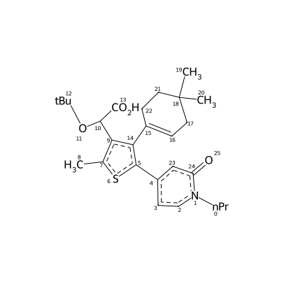 CCCn1ccc(-c2sc(C)c(C(OC(C)(C)C)C(=O)O)c2C2=CCC(C)(C)CC2)cc1=O